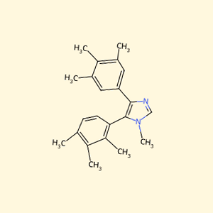 Cc1cc(-c2ncn(C)c2-c2ccc(C)c(C)c2C)cc(C)c1C